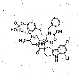 CCC(C)CN(C(N)=O)C(=O)C1(NC(=O)[C@H](CCc2ccc(OP(=O)(O)O)cc2)N(Cc2ccccc2)C(=O)O)CCc2[nH]c3c(Cl)cc(Cl)cc3c2C1